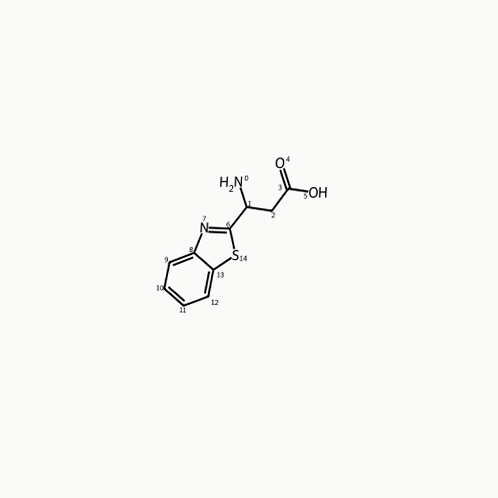 NC(CC(=O)O)c1nc2ccccc2s1